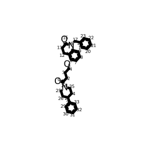 O=C(CCCOc1cccc2c1CCC(=O)N2Cc1ccccc1)N1CCC(c2ccccc2)CC1